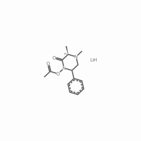 CC(=O)ON1C(=O)[C@@H](C)N(C)CC1c1ccccc1.[LiH]